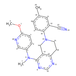 COc1ccc(N(C)c2ncnc3c2CN(c2ccc(C)cc2C#N)CC3)cn1